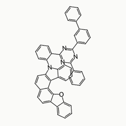 c1ccc(-c2cccc(-c3nc(-c4ccccc4)nc(-c4ccccc4-n4c5ccccc5c5c6c(ccc7c8ccccc8oc76)ccc54)n3)c2)cc1